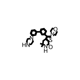 CC1(C)Cc2c(sc(N3CCOCC3)c2-c2cccc(-c3cccc(N4CCNCC4)c3)c2)C(=O)N1